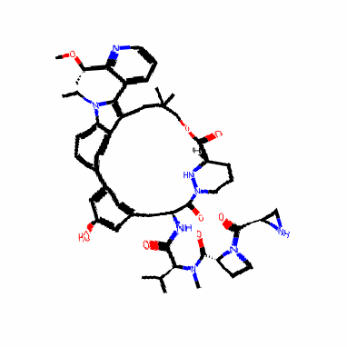 CCn1c(-c2cccnc2[C@H](C)OC)c2c3cc(ccc31)-c1cc(O)cc(c1)C[C@H](NC(=O)[C@H](C(C)C)N(C)C(=O)[C@H]1CCN1C(=O)[C@H]1CN1)C(=O)N1CCC[C@H](N1)C(=O)OCC(C)(C)C2